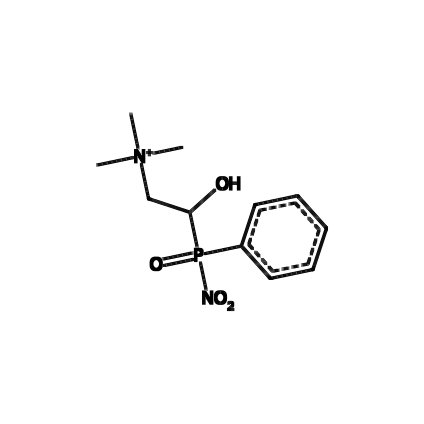 C[N+](C)(C)CC(O)P(=O)(c1ccccc1)[N+](=O)[O-]